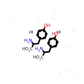 I.I.NC(Cc1ccc(O)cc1)C(=O)O.NC(Cc1ccc(O)cc1)C(=O)O